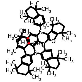 Cc1cc(C)c(-c2cc3c(cc2N2c4cc5c(cc4B4c6oc7c(c6N(c6ccc8c(c6)C(C)(C)CCC8(C)C)c6cc(C(C)(C)C)cc2c64)C(C)(C)CCC7(C)C)C(C)(C)CCC5(C)C)C(C)(C)CCC3(C)C)c(C)c1